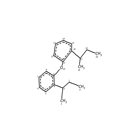 CCC(C)c1ccccc1Oc1ccccc1C(C)CC